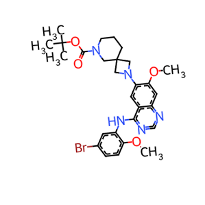 COc1ccc(Br)cc1Nc1ncnc2cc(OC)c(N3CC4(CCCN(C(=O)OC(C)(C)C)C4)C3)cc12